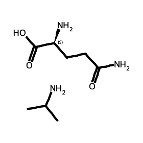 CC(C)N.NC(=O)CC[C@H](N)C(=O)O